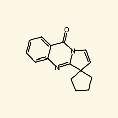 O=c1c2ccccc2nc2n1C=CC21CCCC1